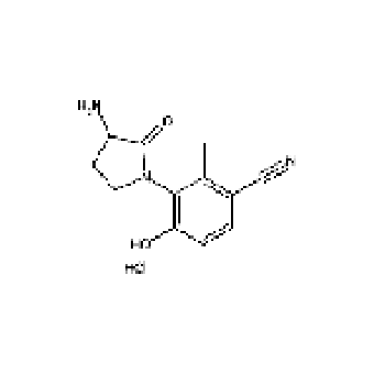 Cc1c(C#N)ccc(O)c1N1CCC(N)C1=O.Cl